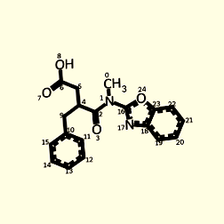 CN(C(=O)C(CC(=O)O)Cc1ccccc1)c1nc2ccccc2o1